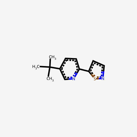 CC(C)(C)c1ccc(-c2ccns2)nc1